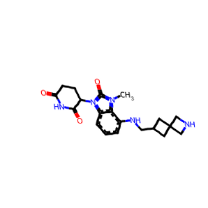 Cn1c(=O)n(C2CCC(=O)NC2=O)c2cccc(NCC3CC4(CNC4)C3)c21